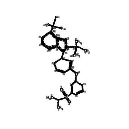 CC(C)S(=O)(=O)C1=CC(OC2=CC(c3c(C(C)(C)C)nc4c(C(F)(F)F)cccn34)CC=C2)CC=C1